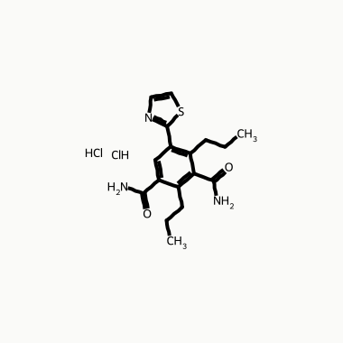 CCCc1c(C(N)=O)cc(-c2nccs2)c(CCC)c1C(N)=O.Cl.Cl